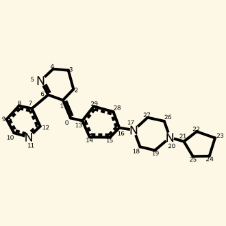 C(=C1/CCCN=C1c1cccnc1)/c1ccc(N2CCN(C3CCCC3)CC2)cc1